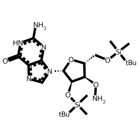 CC(C)(C)[Si](C)(C)OC[C@H]1O[C@@H](n2cnc3c(=O)[nH]c(N)nc32)[C@H](O[Si](C)(C)C(C)(C)C)[C@@H]1ON